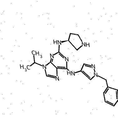 CC(C)n1cnc2c(Nc3cnn(Cc4ccccc4)c3)nc(N[C@H]3CCNC3)nc21